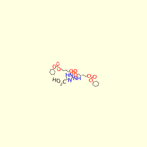 CC(C(=O)O)N(C)C(=N)NP(=O)(OCCCCOC(=O)OC1CCCCC1)OCCCCOC(=O)OC1CCCCC1